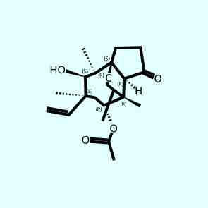 C=C[C@]1(C)C[C@@H](OC(C)=O)[C@]2(C)C(C)CC[C@]3(CCC(=O)[C@H]32)[C@@H](C)[C@@H]1O